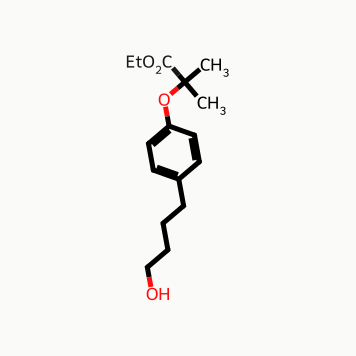 CCOC(=O)C(C)(C)Oc1ccc(CCCCO)cc1